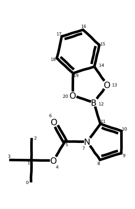 CC(C)(C)OC(=O)n1cccc1B1Oc2ccccc2O1